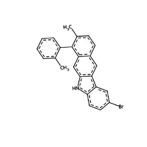 Cc1ccccc1-c1c(C)ccc2cc3c(cc12)[nH]c1ccc(Br)cc13